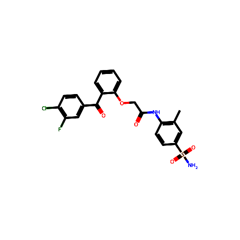 Cc1cc(S(N)(=O)=O)ccc1NC(=O)COc1ccccc1C(=O)c1ccc(Cl)c(F)c1